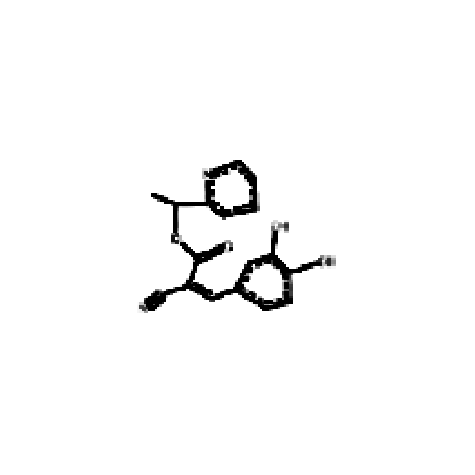 CC(OC(=O)C(C#N)=Cc1ccc(O)c(O)c1)c1ccccn1